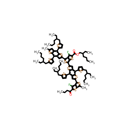 CCCCC(CC)COC(=O)c1sc2c(-c3cc4c(-c5ccc(CC(CC)CCCC)s5)c5sc(-c6sc(C)c7sc(C(=O)CCC)c(F)c67)cc5c(-c5ccc(CC(CC)CCCC)s5)c4s3)sc(-c3cc4c(-c5ccc(CC(CC)CCCC)s5)c5sc(C)cc5c(-c5ccc(CC(CC)CCCC)s5)c4s3)c2c1F